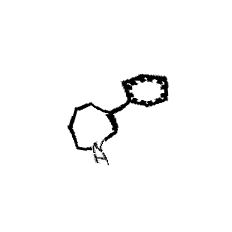 C1=C(c2ccccc2)CCCCN1